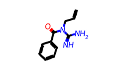 C=CCN(C(=N)N)C(=O)c1ccccc1